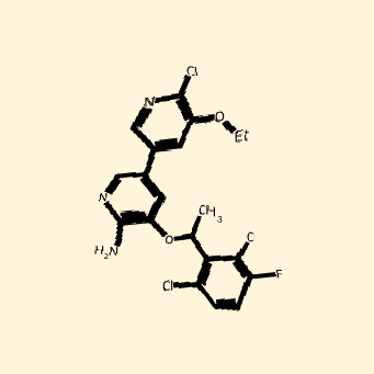 CCOc1cc(-c2cnc(N)c(OC(C)c3c(Cl)ccc(F)c3Cl)c2)cnc1Cl